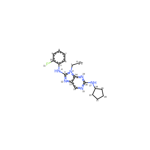 CC(C)Cn1c(Nc2ccccc2F)nc2cnc(NC3CCCC3)nc21